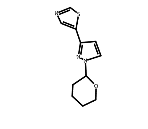 c1ncc(-c2ccn(C3CCCCO3)n2)s1